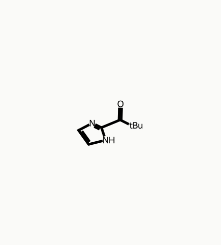 CC(C)(C)C(=O)c1ncc[nH]1